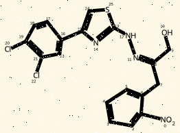 O=[N+]([O-])c1ccccc1CC(CO)=NNc1nc(-c2ccc(Cl)c(Cl)c2)cs1